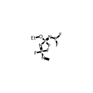 C=NP(F)(F)=NP(F)(=NP(F)F)OCC